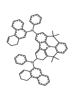 CC1(C)C2=c3c(c4cc(N(c5ccccc5)c5cc6c(c7ccccc57)C=CCC6)cc5c4n3-c3c1cccc3C5(C)C)=CC(N(c1ccccc1)c1cc3ccccc3c3c1C=CCC3)C2